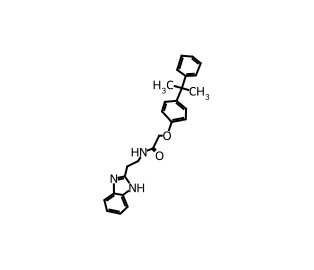 CC(C)(c1ccccc1)c1ccc(OCC(=O)NCCc2nc3ccccc3[nH]2)cc1